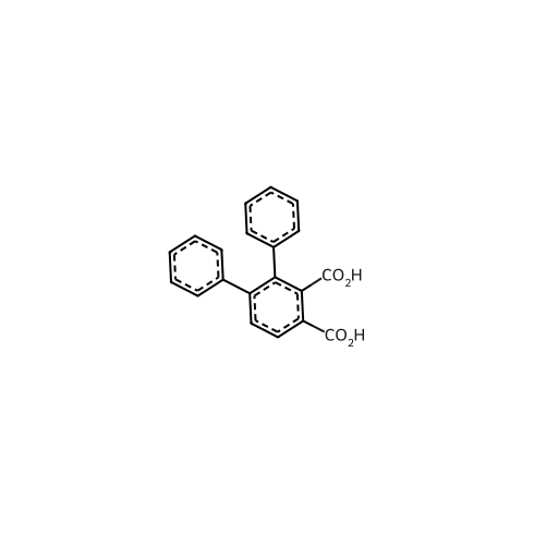 O=C(O)c1ccc(-c2ccccc2)c(-c2ccccc2)c1C(=O)O